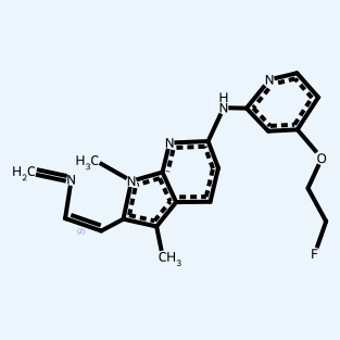 C=N/C=C\c1c(C)c2ccc(Nc3cc(OCCF)ccn3)nc2n1C